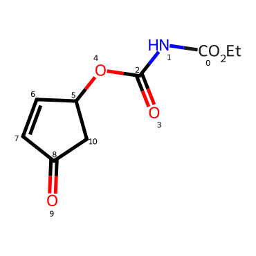 CCOC(=O)NC(=O)OC1C=CC(=O)C1